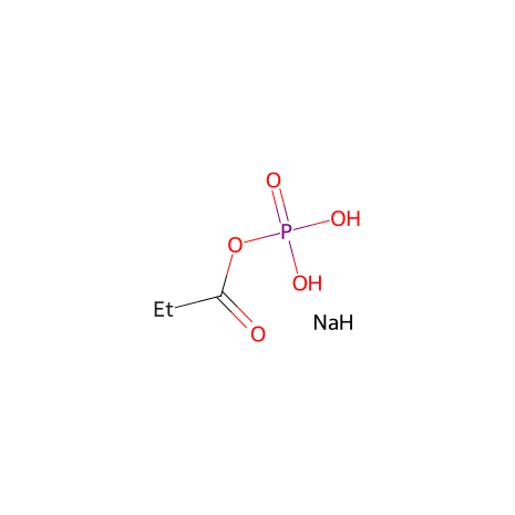 CCC(=O)OP(=O)(O)O.[NaH]